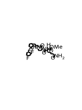 COC(=O)NC(CC/C=C/C(N)=O)C(=O)Nc1cccn(Cc2cc3cccc(OCc4ccc(F)cc4F)c3[nH]2)c1=O